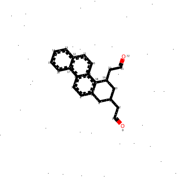 O=CCC1Cc2ccc3c(ccc4ccccc43)c2C(CC=O)C1